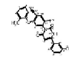 Cc1ccccc1Oc1cc(-n2c(=O)cc(-c3cccc(Cl)c3)[nH]c2=O)c(F)cc1C#N